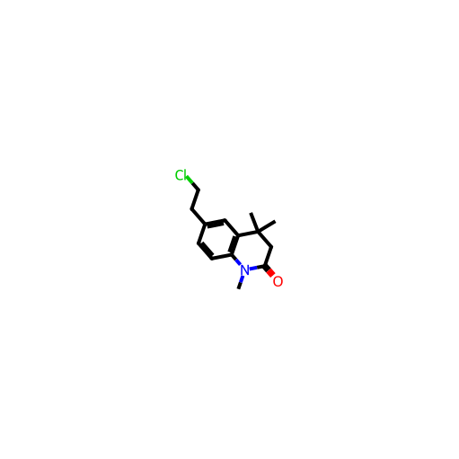 CN1C(=O)CC(C)(C)c2cc(CCCl)ccc21